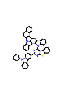 c1ccc(-n2c3ccccc3c3cc(-c4nc(-n5c6ccccc6c6cc7c8c9ccccc9ccc8n8c9ccccc9c(c65)c78)c5c(n4)sc4ccccc45)ccc32)cc1